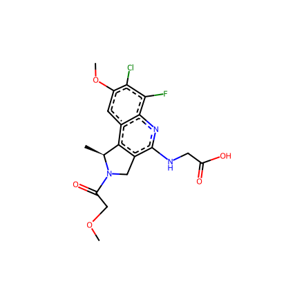 COCC(=O)N1Cc2c(NCC(=O)O)nc3c(F)c(Cl)c(OC)cc3c2[C@@H]1C